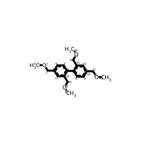 COCc1ccc(-c2ccc(COC)cc2COC)c(COC)c1